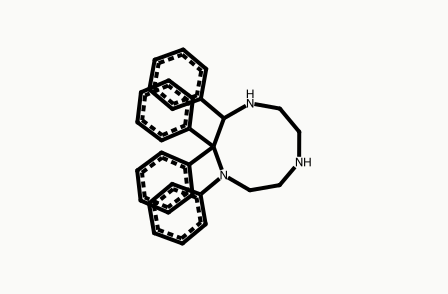 c1ccc(C2NCCNCCN(c3ccccc3)C2(c2ccccc2)c2ccccc2)cc1